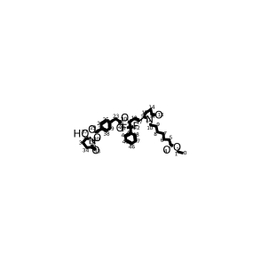 CCOC(=O)CCCCCCN1C(=O)CC[C@@H]1/C=C/[C@@H](OC(=O)Cc1ccc(C(=O)ON2C(=O)CCC2O)cc1)C(F)(F)c1ccccc1